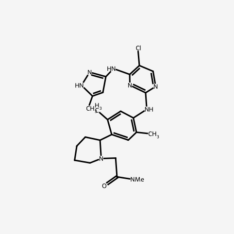 CNC(=O)CN1CCCCC1c1cc(C)c(Nc2ncc(Cl)c(Nc3cc(C)[nH]n3)n2)cc1C